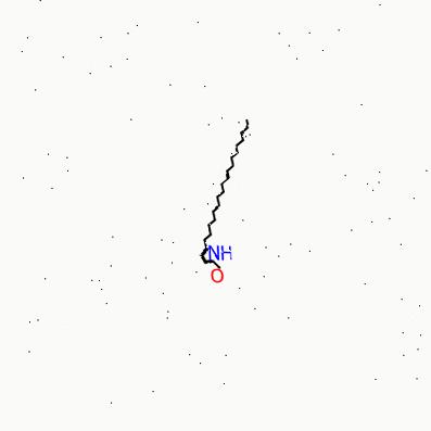 CCCCCCCCC=CCCCCCCCCCc1ccc(C=O)[nH]1